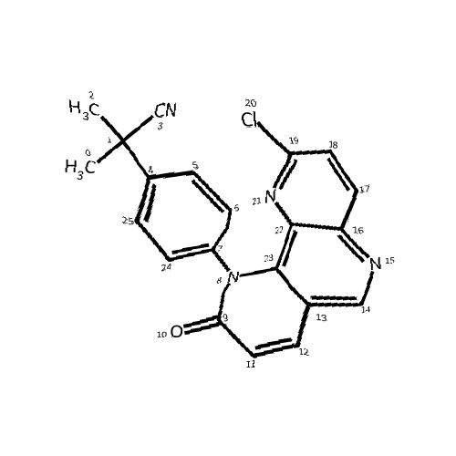 CC(C)(C#N)c1ccc(-n2c(=O)ccc3cnc4ccc(Cl)nc4c32)cc1